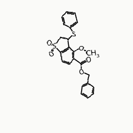 COc1c(C(=O)OCc2ccccc2)ccc2c1C(Sc1ccccc1)CS2(=O)=O